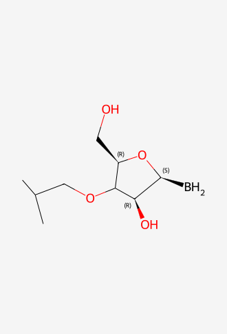 B[C@@H]1O[C@H](CO)C(OCC(C)C)[C@@H]1O